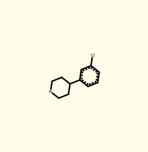 Clc1cccc(C2CC[N]CC2)c1